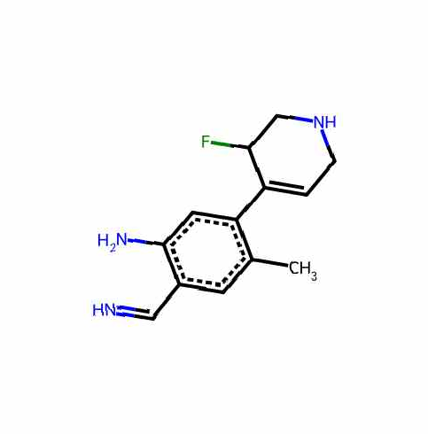 Cc1cc(C=N)c(N)cc1C1=CCNCC1F